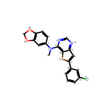 CN(c1ccc2c(c1)OCO2)c1ncnc2cc(-c3cccc(Cl)c3)sc12